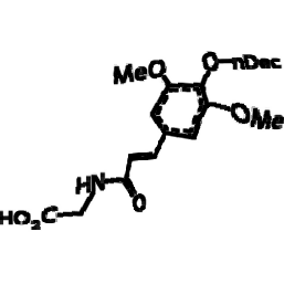 CCCCCCCCCCOc1c(OC)cc(C=CC(=O)NCC(=O)O)cc1OC